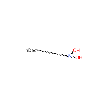 CCCCCCCCCCCCCCCCCCCCCCCCCCC=CN(CCCO)CCCO